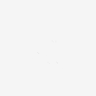 CC(=O)Nc1nn2ccccc2c1Nc1ccc(O)cc1